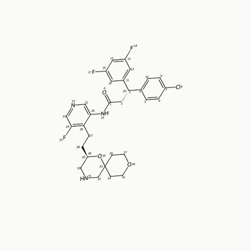 O=C(C[C@@H](c1ccc(Cl)cc1)c1cc(F)cc(F)c1)Nc1cncc(F)c1CC[C@@H]1CNCC2(CCOCC2)O1